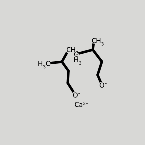 CC(C)CC[O-].CC(C)CC[O-].[Ca+2]